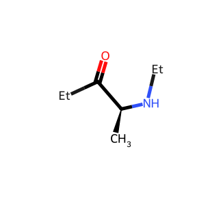 CCN[C@@H](C)C(=O)CC